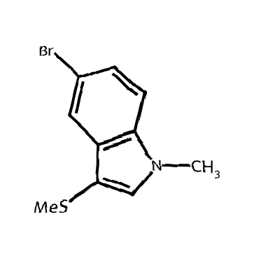 CSc1cn(C)c2ccc(Br)cc12